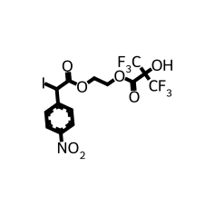 O=C(OCCOC(=O)C(O)(C(F)(F)F)C(F)(F)F)C(I)c1ccc([N+](=O)[O-])cc1